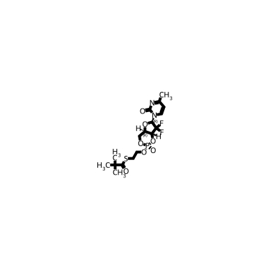 Cc1ccn([C@@H]2O[C@@H]3COP(=O)(OCCSC(=O)C(C)(C)C)O[C@H]3C2(F)F)c(=O)n1